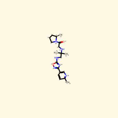 Cc1ccc(-c2noc(NCC(C)(C)NCC(=O)N3CCC[C@H]3C#N)n2)cn1